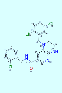 O=C(NCc1ccccc1Cl)c1cnc2c(c1)N(Cc1cc(Cl)ccc1Cl)CCN2